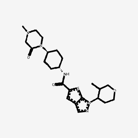 CC1COCCC1n1ncc2cc(C(=O)N[C@H]3CC[C@H](N4CCN(C)CC4=O)CC3)sc21